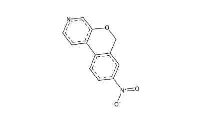 O=[N+]([O-])c1ccc2c(c1)COc1cnccc1-2